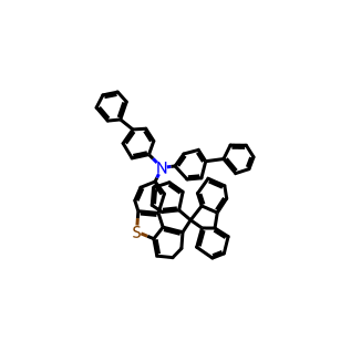 C1=c2sc3ccc(N(c4ccc(-c5ccccc5)cc4)c4ccc(-c5ccccc5)cc4)cc3c2=C(C2(c3ccccc3)c3ccccc3-c3ccccc32)CC1